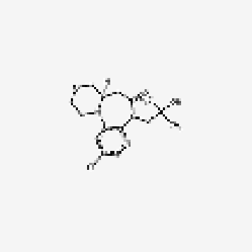 CC(C)(O)CN1C(=O)C[C@@H]2COCCN2c2cc(Cl)cnc21